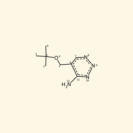 CC(C)(C)OCc1cnnnc1N